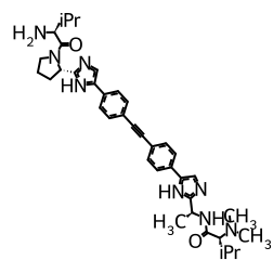 CC(C)[C@H](N)C(=O)N1CCC[C@H]1c1ncc(-c2ccc(C#Cc3ccc(-c4cnc([C@H](C)NC(=O)[C@H](C(C)C)N(C)C)[nH]4)cc3)cc2)[nH]1